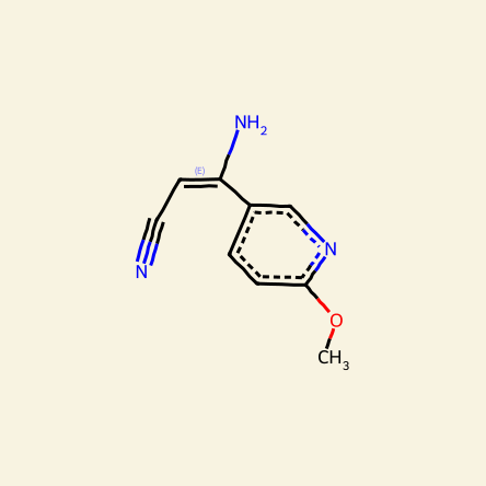 COc1ccc(/C(N)=C\C#N)cn1